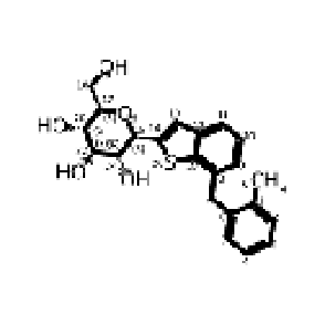 Cc1ccccc1Cc1cccc2cc([C@@H]3O[C@H](CO)[C@@H](O)[C@H](O)[C@H]3O)sc12